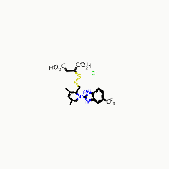 Cc1cc(C)c(CSSC(CC(=O)O)C(=O)O)[n+](-c2nc3cc(C(F)(F)F)ccc3[nH]2)c1.[Cl-]